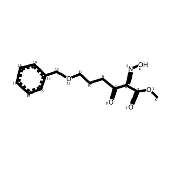 COC(=O)C(=NO)C(=O)CCCOCc1ccccc1